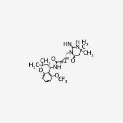 CC1(C)CC(=O)N(C[C@@H]2C[C@H]2C(=O)NC2CC(C)(C)Oc3cccc(OC(F)(F)F)c32)C(=N)N1